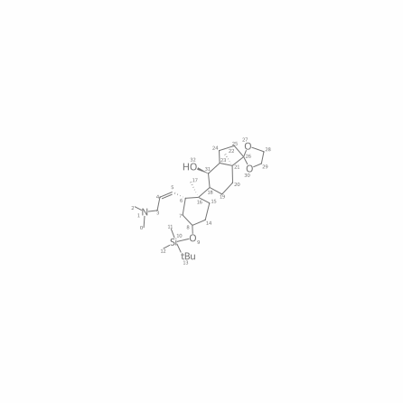 CN(C)C/C=C\[C@H]1CC(O[Si](C)(C)C(C)(C)C)CC[C@]1(C)C1CC[C@@]2(C)C(CCC23OCCO3)[C@@H]1O